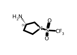 N[C@H]1CCN(S(=O)(=O)C(F)(F)F)C1